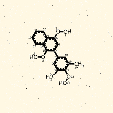 Cc1cc(-c2cc(OO)c3ccccc3c2OO)cc(C)c1OO